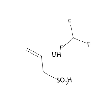 C=CCS(=O)(=O)O.FC(F)F.[LiH]